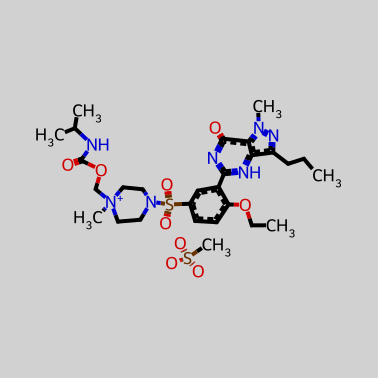 CCCc1nn(C)c2c(=O)nc(-c3cc(S(=O)(=O)N4CC[N+](C)(COC(=O)NC(C)C)CC4)ccc3OCC)[nH]c12.CS(=O)(=O)[O-]